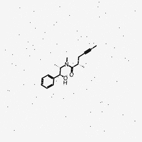 CC#CC[C@H](C)C(=O)N(C)[C@@H](C)[C@@H](O)c1ccccc1